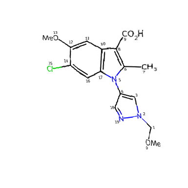 COCn1cc(-n2c(C)c(C(=O)O)c3cc(OC)c(Cl)cc32)cn1